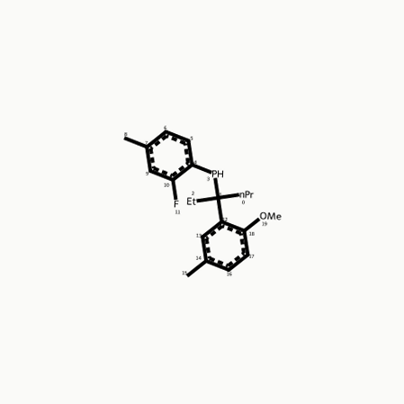 CCCC(CC)(Pc1ccc(C)cc1F)c1cc(C)ccc1OC